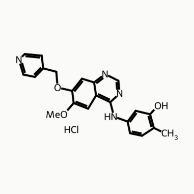 COc1cc2c(Nc3ccc(C)c(O)c3)ncnc2cc1OCc1ccncc1.Cl